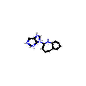 C1=Cc2ccccc2NC(n2cnc3cncnc32)=C1